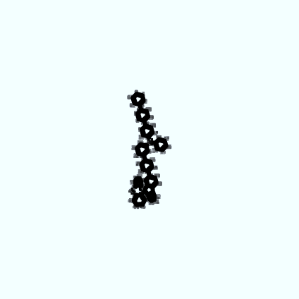 c1ccc(-c2ccc(-c3ccc(N(c4ccccc4)c4cccc(-c5ccc(-c6ccc7c(c6)[Si]6(c8ccccc8Sc8ccccc86)c6ccccc6-7)cc5)c4)cc3)cc2)cc1